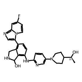 C[C@H](O)C1CCN(c2ccc(Nc3ccc(-c4cnc5cc(F)ccn45)c4c3C(O)NC4)nc2)CC1